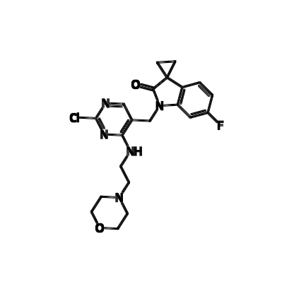 O=C1N(Cc2cnc(Cl)nc2NCCN2CCOCC2)c2cc(F)ccc2C12CC2